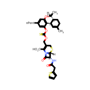 C=C(C)[C@@H]1CCC(C)=C[C@H]1c1c(O)cc(CCCCC)cc1OC(=S)OCC1=C(C(=O)O)N2C(=O)[C@@H](NC(=O)Cc3cccs3)[C@H]2SC1